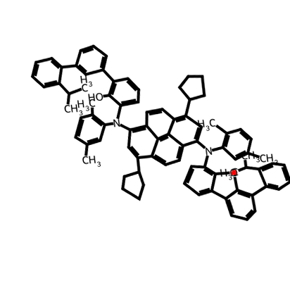 Cc1ccc(C)c(N(c2cccc(-c3cccc(-c4ccccc4C(C)C)c3)c2O)c2cc(C3CCCC3)c3ccc4c(N(c5cc(C)ccc5C)c5cccc6c5oc5c(-c7ccccc7C(C)C)cccc56)cc(C5CCCC5)c5ccc2c3c54)c1